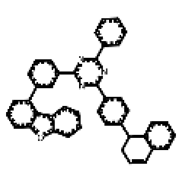 C1=Cc2ccccc2C(c2ccc(-c3nc(-c4ccccc4)nc(-c4cccc(-c5cccc6oc7ccccc7c56)c4)n3)cc2)C1